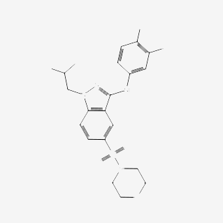 Cc1cc(Nc2nn(CC(F)F)c3ccc(S(=O)(=O)N4CCOCC4)cc23)ccc1F